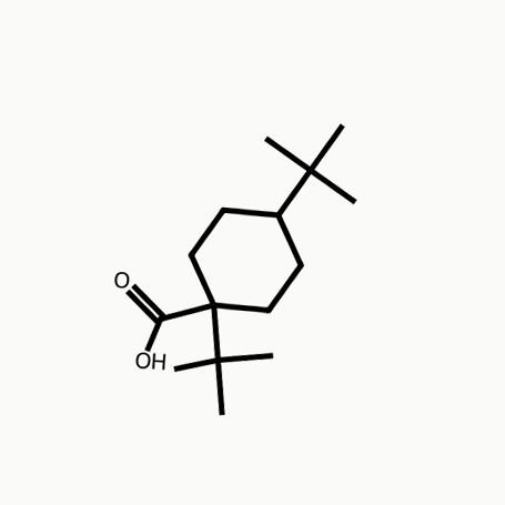 CC(C)(C)C1CCC(C(=O)O)(C(C)(C)C)CC1